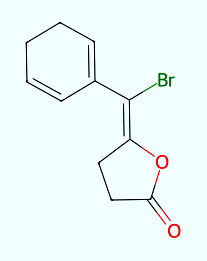 O=C1CC/C(=C(/Br)C2=CCCC=C2)O1